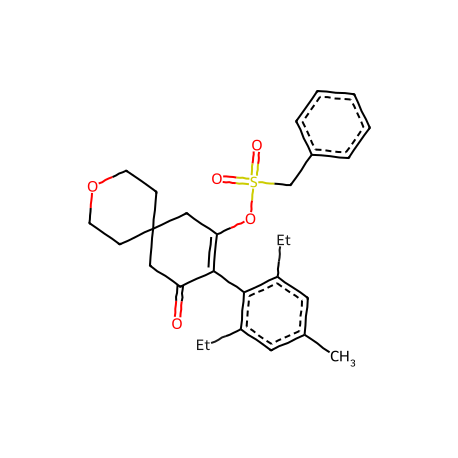 CCc1cc(C)cc(CC)c1C1=C(OS(=O)(=O)Cc2ccccc2)CC2(CCOCC2)CC1=O